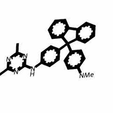 CNc1ccc(C2(c3ccc(Nc4nc(C)nc(C)n4)cc3)c3ccccc3-c3ccccc32)cc1